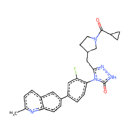 Cc1ccc2cc(-c3ccc(-n4c(CC5CCN(C(=O)C6CC6)C5)n[nH]c4=O)c(F)c3)ccc2n1